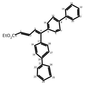 CCOC(=O)/C=C/C=C(c1ccc(-c2ccccc2)cc1)c1ccc(-c2ccccc2)cc1